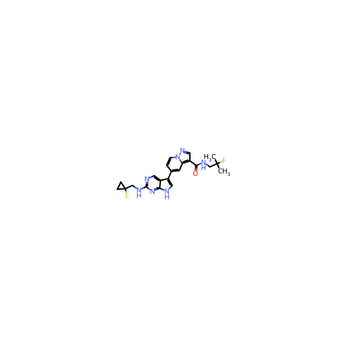 CC(C)(F)CNC(=O)c1cnn2ccc(-c3c[nH]c4nc(NCC5(F)CC5)ncc34)cc12